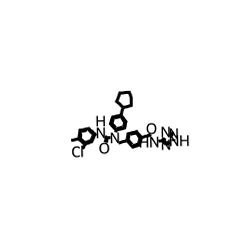 Cc1ccc(NC(=O)N(Cc2ccc(C(=O)Nc3nn[nH]n3)cc2)c2ccc(C3CCCCC3)cc2)cc1Cl